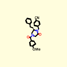 COc1ccc(C(=O)N2CC(=O)N(Cc3ccc(C#N)cc3)[C@@H](CCc3ccccc3)C2)cc1